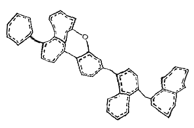 c1ccc(-c2ccc3c4c(cccc24)Oc2cc(-c4ccc(-c5cccc6ccccc56)c5ccccc45)ccc2-3)cc1